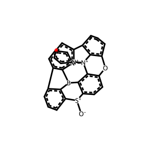 [O-][S+]1c2cccc3c2B2c4c1ccc1c4[N+]4(c5c(cccc5-c5cccc[n+]54)O1)[n+]1cccc-3c12